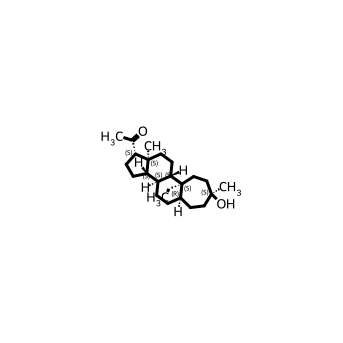 CC[C@]12CC[C@@](C)(O)CC[C@H]1CC[C@H]1[C@@H]3CC[C@H](C(C)=O)[C@@]3(C)CC[C@@H]12